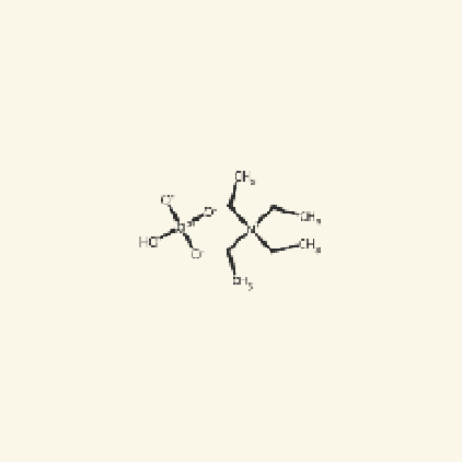 CC[N+](CC)(CC)CC.[O-][Cl+3]([O-])([O-])O